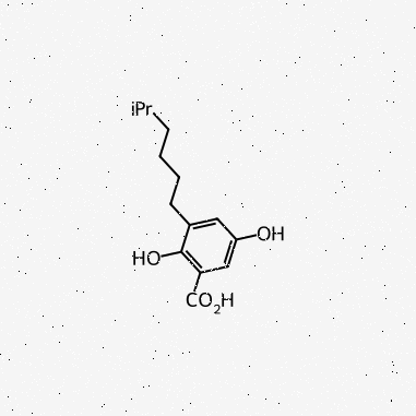 CC(C)CCCCc1cc(O)cc(C(=O)O)c1O